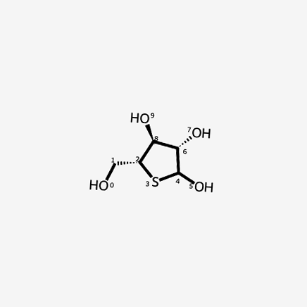 OC[C@H]1SC(O)[C@@H](O)[C@@H]1O